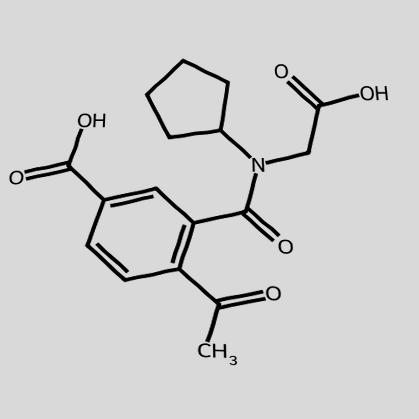 CC(=O)c1ccc(C(=O)O)cc1C(=O)N(CC(=O)O)C1CCCC1